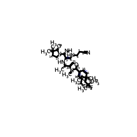 C=C(N/C(=C/NCCC#N)C(=N)N1CCC(C)(C)C1=O)C1=COC(C(/C=C\C(C)(CC)CC(C)(C)F)=C/C(C)CC)N1C